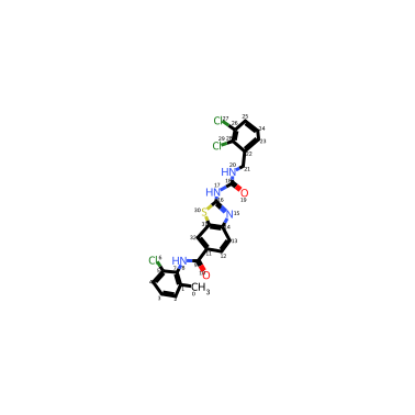 Cc1cccc(Cl)c1NC(=O)c1ccc2nc(NC(=O)NCc3cccc(Cl)c3Cl)sc2c1